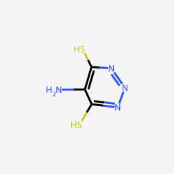 Nc1c(S)nnnc1S